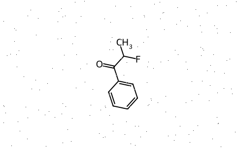 CC(F)C(=O)c1ccccc1